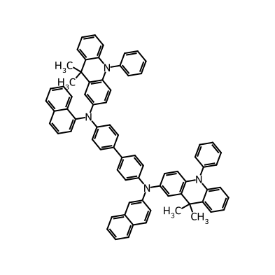 CC1(C)c2ccccc2N(c2ccccc2)c2ccc(N(c3ccc(-c4ccc(N(c5ccc6c(c5)C(C)(C)c5ccccc5N6c5ccccc5)c5cccc6ccccc56)cc4)cc3)c3ccc4ccccc4c3)cc21